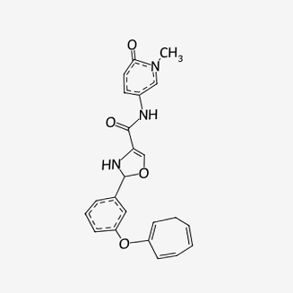 Cn1cc(NC(=O)C2=COC(c3cccc(OC4=CCC=CC=C4)c3)N2)ccc1=O